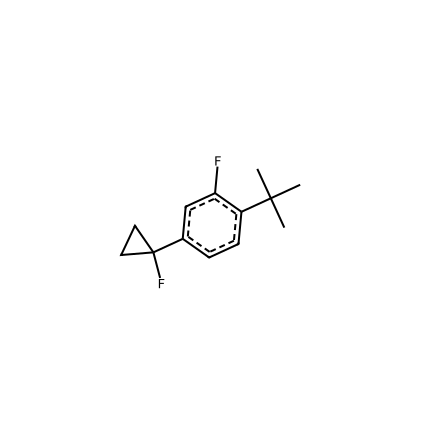 CC(C)(C)c1ccc(C2(F)CC2)cc1F